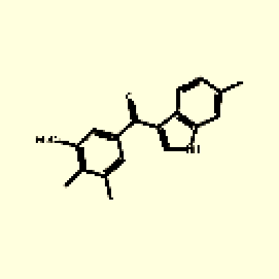 COc1cc(C(=O)c2c[nH]c3cc(C)ccc23)cc(C)c1C